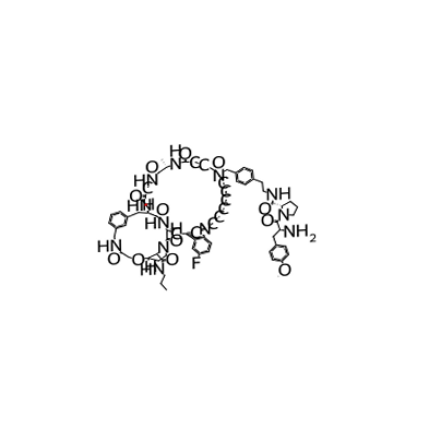 CCCNC(=O)C1[C@@H]2CCN1C(=O)[C@@H]1Cc3cn(c4ccc(F)cc34)CCCCCCN(Cc3ccc(CCNC(=O)[C@@H]4CCCN4C(=O)[C@@H](N)Cc4ccc(OC)cc4)cc3)C(=O)CCC(=O)N[C@@H](C)C(=O)NCC(=O)N[C@@H](Cc3cccc(c3)CNC(=O)CO2)C(=O)N1